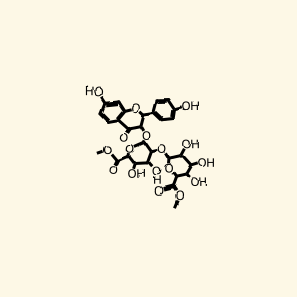 COC(=O)C1OC(OC2C(OC3C(=O)c4ccc(O)cc4OC3c3ccc(O)cc3)OC(C(=O)OC)C(O)C2O)C(O)C(O)C1O